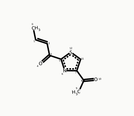 C/C=C/C(=O)c1nc(C(C)=O)cs1